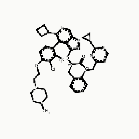 Cc1c(-c2c(C3CCC3)ncc3snc(O[C@H](Cc4ccccc4OCc4ccnc(C5CC5)n4)C(=O)O)c23)ccc(OCCN2CCN(C)CC2)c1Cl